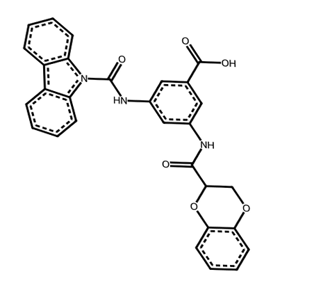 O=C(O)c1cc(NC(=O)C2COc3ccccc3O2)cc(NC(=O)n2c3ccccc3c3ccccc32)c1